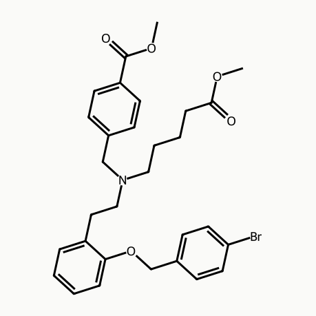 COC(=O)CCCCN(CCc1ccccc1OCc1ccc(Br)cc1)Cc1ccc(C(=O)OC)cc1